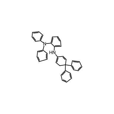 C1=CC(c2ccccc2)(c2ccccc2)CC=C1Nc1ccccc1N(c1ccccc1)c1ccccc1